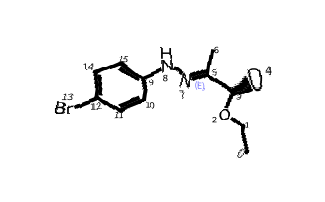 CCOC(=O)/C(C)=N/Nc1ccc(Br)cc1